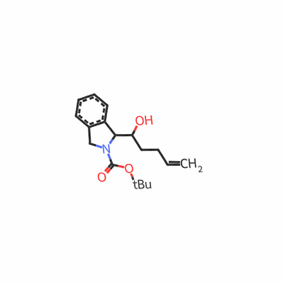 C=CCCC(O)C1c2ccccc2CN1C(=O)OC(C)(C)C